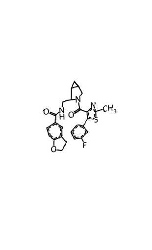 Cc1nc(C(=O)N2CC3CC3C2CNC(=O)c2ccc3c(c2)CCO3)c(-c2cccc(F)c2)s1